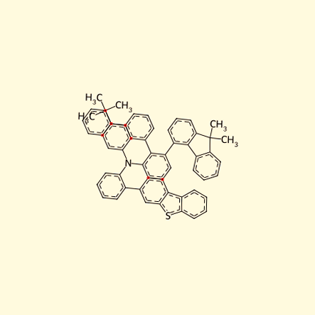 CC(C)(C)c1ccc(N(c2ccccc2-c2ccc3c(c2)sc2ccccc23)c2cccc(-c3cccc4c3-c3ccccc3C4(C)C)c2-c2cccc(-c3ccccc3)c2)cc1